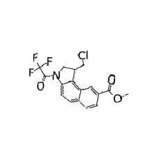 COC(=O)c1ccc2ccc3c(c2c1)C(CCl)CN3C(=O)C(F)(F)F